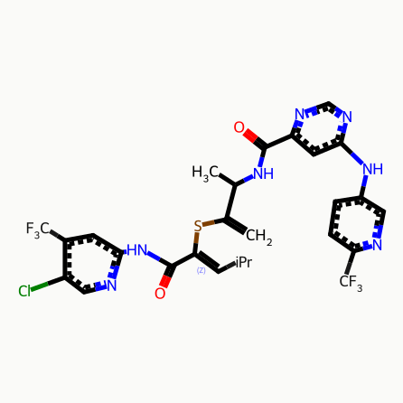 C=C(S/C(=C\C(C)C)C(=O)Nc1cc(C(F)(F)F)c(Cl)cn1)C(C)NC(=O)c1cc(Nc2ccc(C(F)(F)F)nc2)ncn1